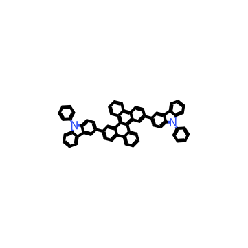 c1ccc(-n2c3ccccc3c3cc(-c4ccc5c6ccccc6c6c7cc(-c8ccc9c(c8)c8ccccc8n9-c8ccccc8)ccc7c7ccccc7c6c5c4)ccc32)cc1